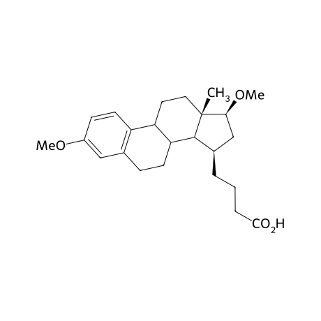 COc1ccc2c(c1)CCC1C2CC[C@@]2(C)C1[C@H](CCCC(=O)O)C[C@@H]2OC